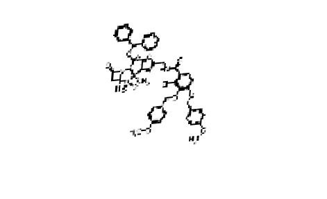 COc1ccc(COc2ccc(C(=O)NCc3cc([C@@]4(C)[C@H](C(=O)OC(c5ccccc5)c5ccccc5)N5C(=O)C[C@H]5S4(=O)=O)no3)c(Cl)c2OCc2ccc(OC)cc2)cc1